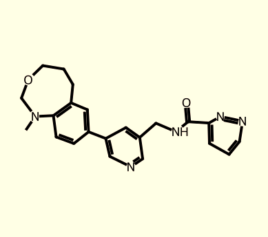 CN1COCCCc2cc(-c3cncc(CNC(=O)c4cccnn4)c3)ccc21